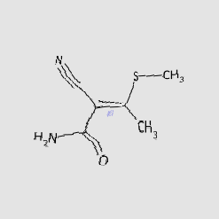 CS/C(C)=C(\C#N)C(N)=O